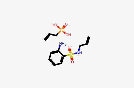 C=CCNS(=O)(=O)c1ccccc1N.C=CCP(=O)(O)O